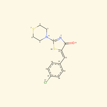 O=C1N=C(N2CCSCC2)SC1=Cc1ccc(Cl)cc1